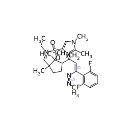 C=C(/C=C(\N=N/C)c1c(F)cccc1F)C1CCC(C)(CN(CC)S(=O)(=O)c2cn(C)c(C)n2)C1(C)C